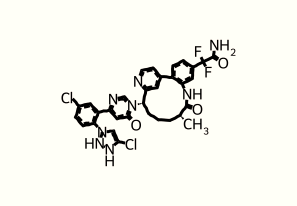 C[C@@H]1CCC[C@H](n2cnc(-c3cc(Cl)ccc3N3C=C(Cl)NN3)cc2=O)c2cc(ccn2)-c2ccc(C(F)(F)C(N)=O)cc2NC1=O